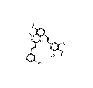 COc1cc(C=Cc2ccc(OC)c(OC)c2NC(=O)/C=C/c2cccc(N)c2)cc(OC)c1OC